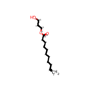 C=CCCCCCCCCC(=O)OCCCO